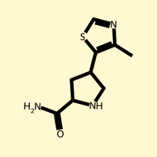 Cc1ncsc1C1CNC(C(N)=O)C1